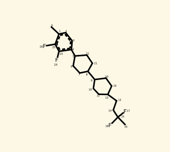 Cc1ccc(C2CCC(C3CCC(CCC(C)(F)F)CC3)CC2)c(F)c1F